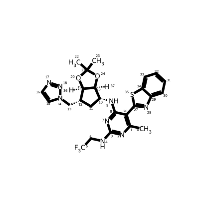 Cc1nc(NCC(F)(F)F)nc(N[C@@H]2C[C@H](Cn3ccnn3)[C@H]3OC(C)(C)O[C@H]32)c1-c1nc2ccccc2s1